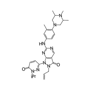 C=CCn1c(=O)c2cnc(Nc3ccc(N4CC(C)N(C)C(C)C4)c(C)c3)nc2n1-c1ccc(=O)n(C(C)C)n1